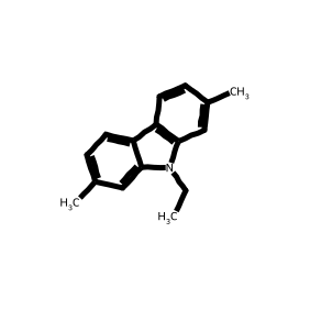 CCn1c2cc(C)ccc2c2ccc(C)cc21